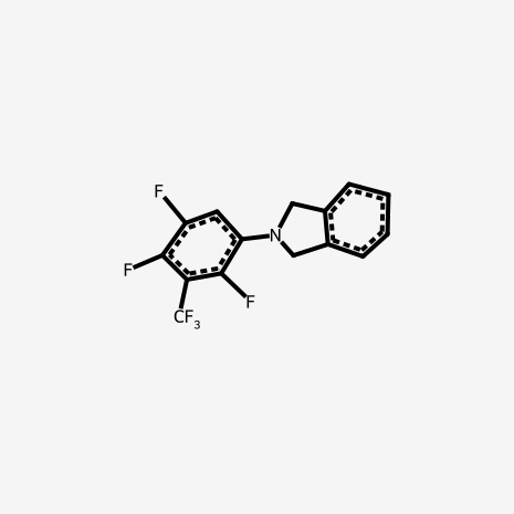 Fc1cc(N2Cc3ccccc3C2)c(F)c(C(F)(F)F)c1F